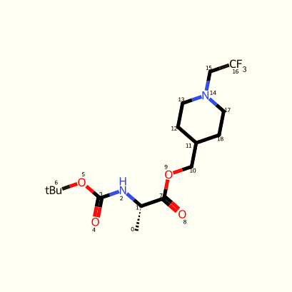 C[C@H](NC(=O)OC(C)(C)C)C(=O)OCC1CCN(CC(F)(F)F)CC1